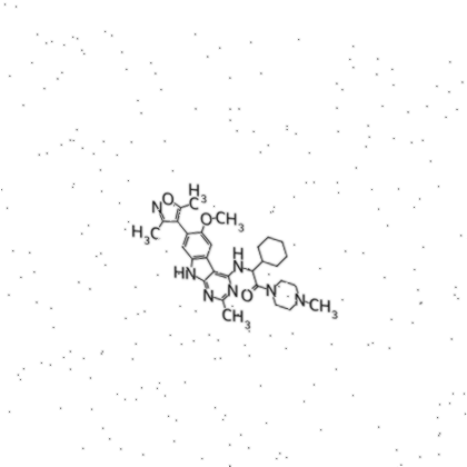 COc1cc2c(cc1-c1c(C)noc1C)[nH]c1nc(C)nc(NC(C(=O)N3CCN(C)CC3)C3CCCCC3)c12